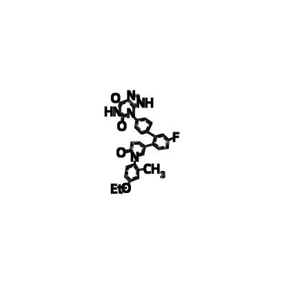 CCOc1ccc(-n2cc(-c3ccc(F)cc3-c3ccc(-n4c(=O)[nH]c(=O)c5nc[nH]c54)cc3)ccc2=O)c(C)c1